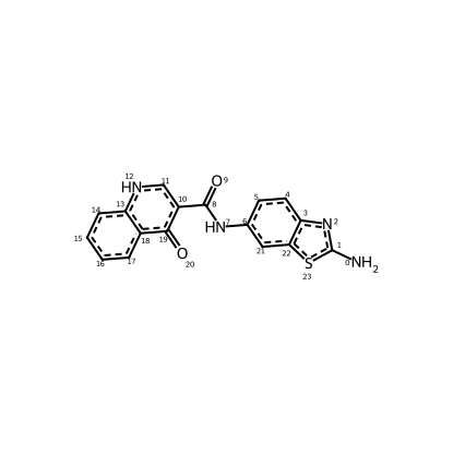 Nc1nc2ccc(NC(=O)c3c[nH]c4ccccc4c3=O)cc2s1